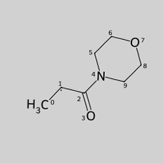 C[CH]C(=O)N1CCOCC1